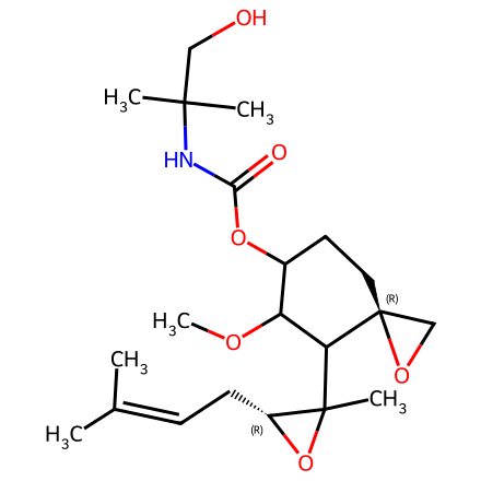 COC1C(OC(=O)NC(C)(C)CO)CC[C@]2(CO2)C1C1(C)O[C@@H]1CC=C(C)C